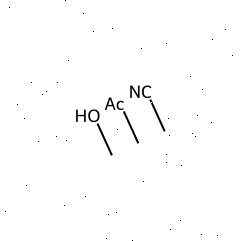 CC#N.CC(C)=O.CO